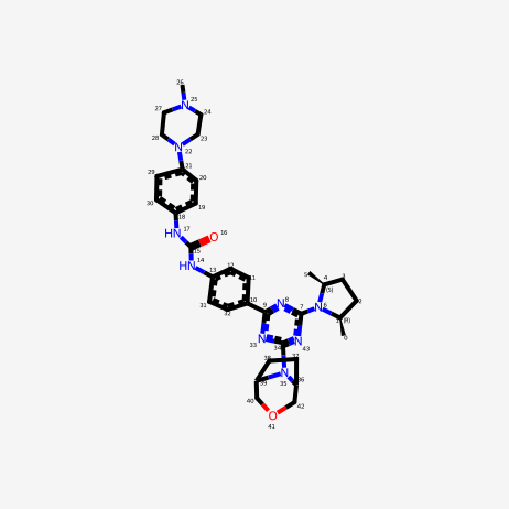 C[C@@H]1CC[C@H](C)N1c1nc(-c2ccc(NC(=O)Nc3ccc(N4CCN(C)CC4)cc3)cc2)nc(N2C3CCC2COC3)n1